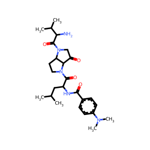 CC(C)CC(NC(=O)c1ccc(N(C)C)cc1)C(=O)N1CCC2C1C(=O)CN2C(=O)C(N)C(C)C